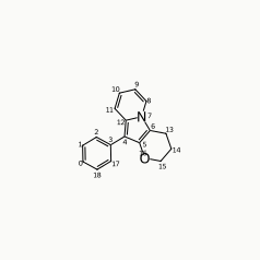 c1ccc(-c2c3c(n4ccccc24)CCCO3)cc1